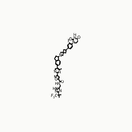 Cc1nc(-c2cc(C(=O)NCc3nc(C(C)(C)C(F)(F)F)n[nH]3)on2)ncc1-c1ccc2c(c1)CCC2N1CC2(CC(c3ccc(N4CCC(=O)NC4=O)c(F)c3)C2)C1